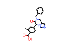 Cc1cc(C2C(=O)N(Cc3ccccc3)Cc3cncn32)ccc1C(=O)O